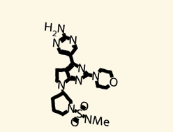 CNS(=O)(=O)N1CCC[C@@H](N2CCc3c(-c4cnc(N)nc4)nc(N4CCOCC4)nc32)C1